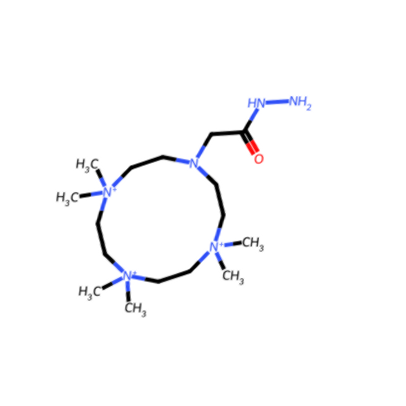 C[N+]1(C)CCN(CC(=O)NN)CC[N+](C)(C)CC[N+](C)(C)CC1